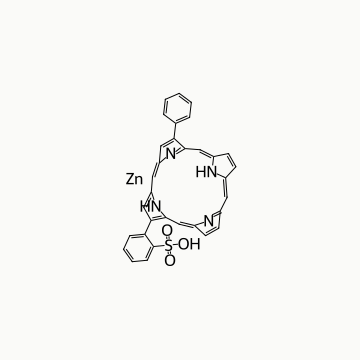 O=S(=O)(O)c1ccccc1-c1cc2cc3nc(cc4ccc(cc5nc(cc1[nH]2)C=C5)[nH]4)C(c1ccccc1)=C3.[Zn]